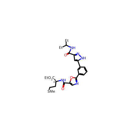 CCOC(=O)[C@H](CCSC)NC(=O)c1cnc(-c2cccc(-c3cc(C(=O)NC(CC)CC)n[nH]3)c2)o1